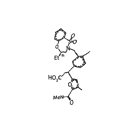 CC[C@@H]1CN(Cc2cc(C(CC(=O)O)c3cc(C)c(C(=O)NC)o3)ccc2C)S(=O)(=O)c2ccccc2O1